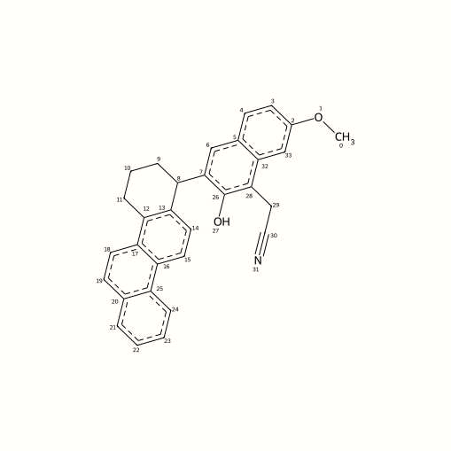 COc1ccc2cc(C3CCCc4c3ccc3c4ccc4ccccc43)c(O)c(CC#N)c2c1